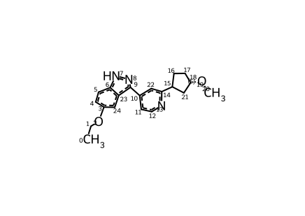 CCOc1ccc2[nH]nc(-c3ccnc(C4CC[C@H](OC)C4)c3)c2c1